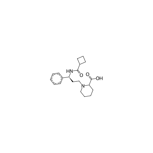 O=C(N[C@@H](CCN1CCCCC1C(=O)O)c1ccccc1)C1CCC1